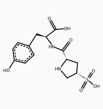 O=C(O)[C@H](Cc1ccc(O)cc1)NC(=O)[C@@H]1C[C@H](S(=O)(=O)O)CN1